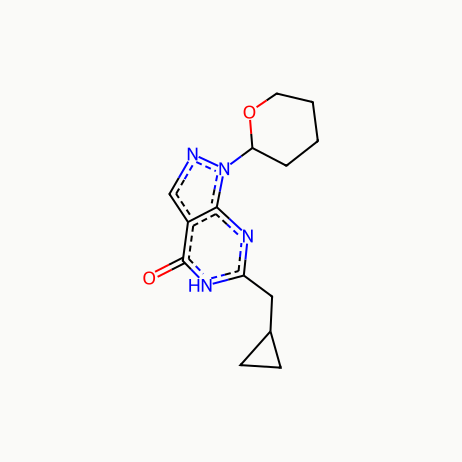 O=c1[nH]c(CC2CC2)nc2c1cnn2C1CCCCO1